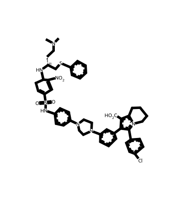 CN(C)CC[C@H](CSc1ccccc1)NC1CC=C(S(=O)(=O)Nc2ccc(N3CCN(c4cccc(-c5c(C(=O)O)c6n(c5-c5ccc(Cl)cc5)CCCC6)c4)CC3)cc2)C=C1[N+](=O)[O-]